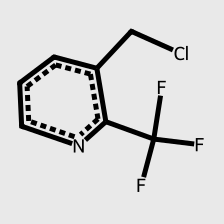 FC(F)(F)c1ncccc1CCl